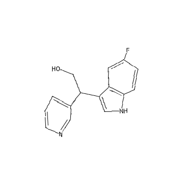 OCC(c1cccnc1)c1c[nH]c2ccc(F)cc12